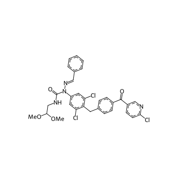 COC(CNC(=O)N(N=Cc1ccccc1)c1cc(Cl)c(Cc2ccc(C(=O)c3ccc(Cl)nc3)cc2)c(Cl)c1)OC